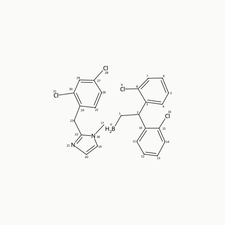 BCC(c1ccccc1Cl)c1ccccc1Cl.Cn1ccnc1Cc1ccc(Cl)cc1Cl